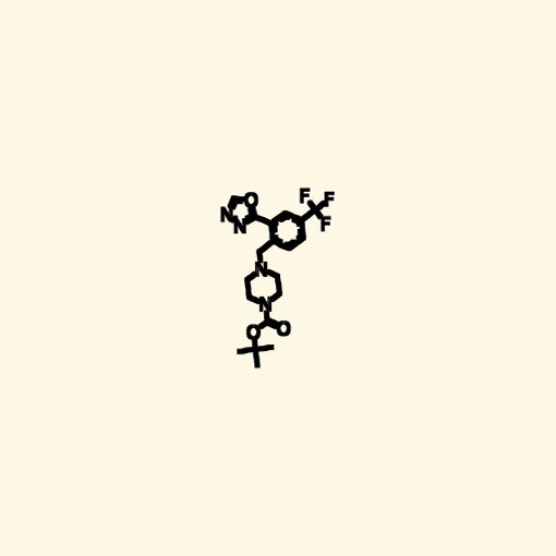 CC(C)(C)OC(=O)N1CCN(Cc2ccc(C(F)(F)F)cc2-c2nnco2)CC1